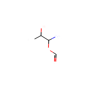 CC(O)C(N)OC=O